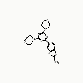 Nc1nc2ccc(-c3nc(N4CCOCC4)nc(N4CCOCC4)n3)cc2o1